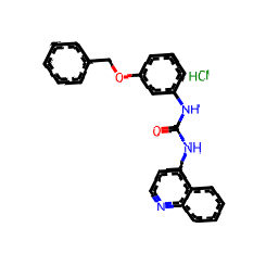 Cl.O=C(Nc1cccc(OCc2ccccc2)c1)Nc1ccnc2ccccc12